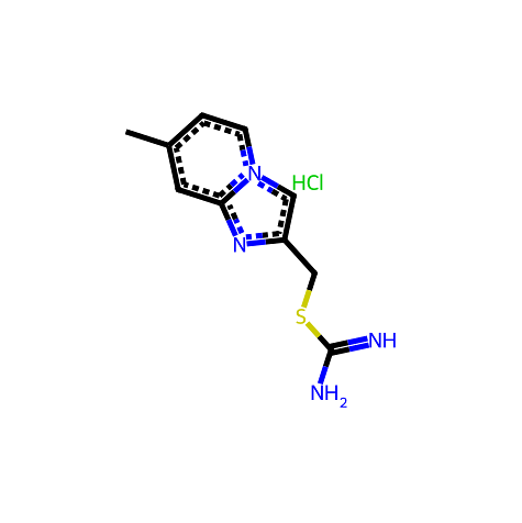 Cc1ccn2cc(CSC(=N)N)nc2c1.Cl